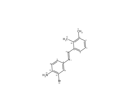 Cc1cccc(N=Nc2ccc(N)c(Br)c2)c1C